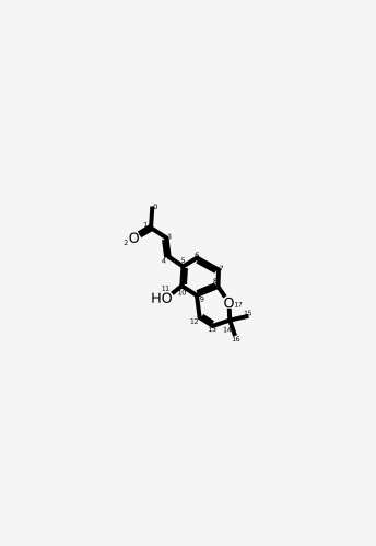 CC(=O)/C=C/c1ccc2c(c1O)C=CC(C)(C)O2